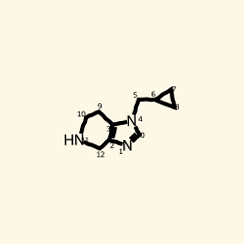 c1nc2c(n1CC1CC1)CCNC2